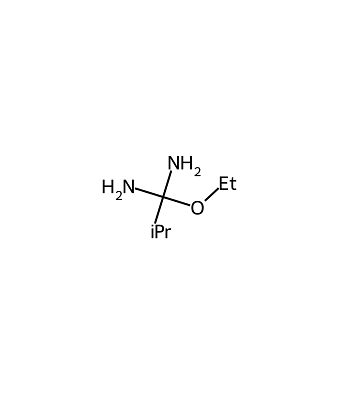 CCOC(N)(N)C(C)C